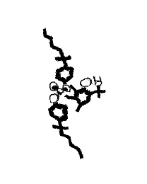 CCCCCC(C)(C)c1ccc(OP(=O)(Cc2c(C)cc(C(C)(C)C)c(O)c2C)Oc2ccc(C(C)(C)CCCCC)cc2)cc1